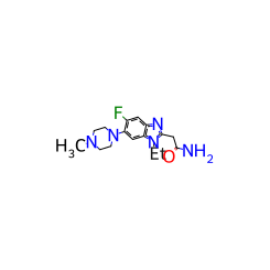 CCn1c(CC(N)=O)nc2cc(F)c(N3CCN(C)CC3)cc21